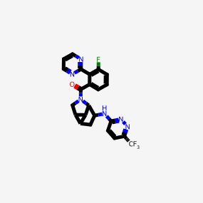 O=C(c1cccc(F)c1-c1ncccn1)N1CC2C3CC(Nc4ccc(C(F)(F)F)nn4)C1C32